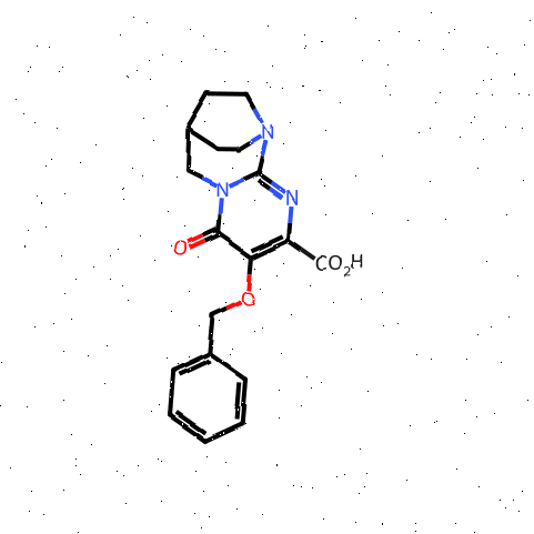 O=C(O)c1nc2n(c(=O)c1OCc1ccccc1)CC1CCN2CC1